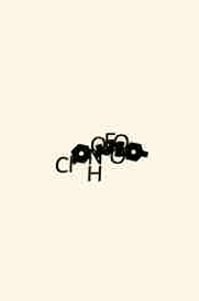 Cc1ccc(S(=O)(=O)C(F)=CC(=O)Nc2cccc(Cl)c2)cc1